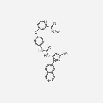 CNC(=O)c1cc(Oc2ccc(NC(=O)Nc3cc(C(C)C)nn3-c3ccc4cnccc4c3)cc2)ccn1